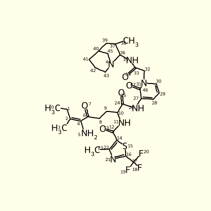 CC/C(C)=C(/N)C(=O)CCC(NC(=O)c1sc(C(F)(F)F)nc1C)C(=O)Nc1cccn(CC(=O)NC2C(C)CC3CCCN2C3)c1=O